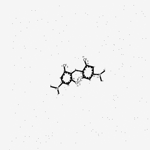 CN(C)c1cc(C(F)(F)F)c(Cc2c(C(F)(F)F)cc(N(C)C)cc2C(F)(F)F)c(C(F)(F)F)c1